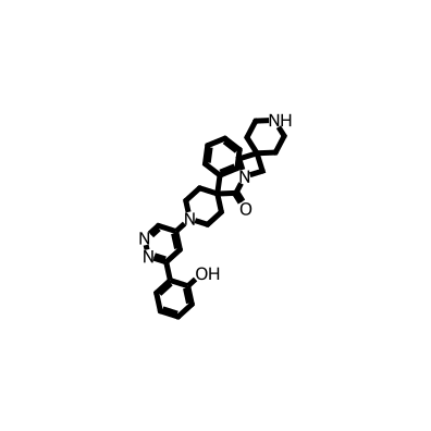 O=C(N1CC2(CCNCC2)C1)C1(c2ccccc2)CCN(c2cnnc(-c3ccccc3O)c2)CC1